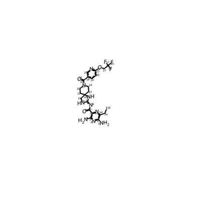 Nc1nc(N)c(C(=O)/N=C2\NCC3(CCN(C(=O)c4ccc(OCC(F)(F)F)nc4)CC3)N2)nc1CI